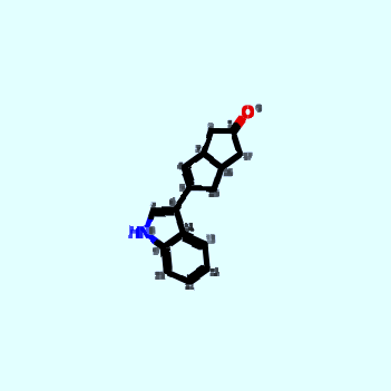 O=C1CC2C=C(c3c[nH]c4ccccc34)CC2C1